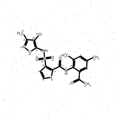 CC(=O)c1cc(C)cc(C)c1NC(=O)c1sccc1S(=O)(=O)Nc1onc(C)c1Cl